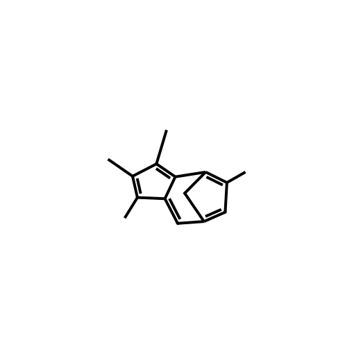 CC1=C2CC(=C1)C=C1C(C)=C(C)C(C)=C12